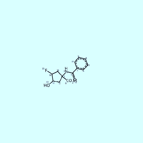 CCOC(=O)C1(NC(=O)c2ccccc2)CC(O)C(F)C1